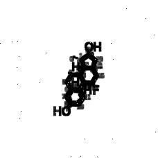 C[C@H]1[C@H]2[C@@H]3CCc4cc(O)ccc4[C@H]3[C@@H](F)C[C@]2(C)C[C@@H]1O